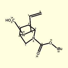 C=CC1C2CCC(CN2C(=O)OC(C)(C)C)N1C(=O)O